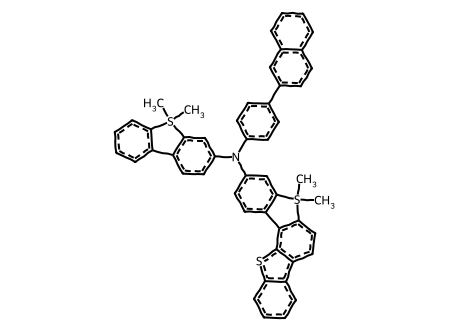 CS1(C)c2ccccc2-c2ccc(N(c3ccc(-c4ccc5ccccc5c4)cc3)c3ccc4c(c3)S(C)(C)c3ccc5c(sc6ccccc65)c3-4)cc21